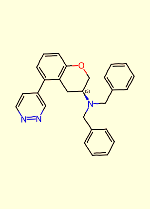 c1ccc(CN(Cc2ccccc2)[C@@H]2COc3cccc(-c4ccnnc4)c3C2)cc1